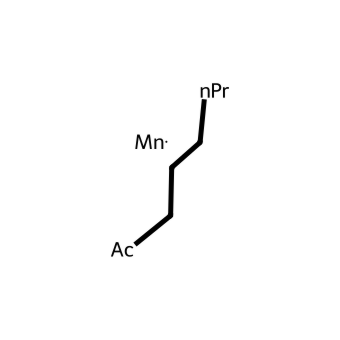 CCCCCCC(C)=O.[Mn]